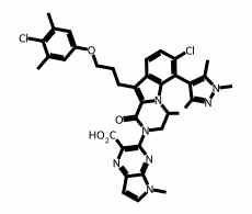 Cc1cc(OCCCc2c3n(c4c(-c5c(C)nn(C)c5C)c(Cl)ccc24)C(C)CN(c2nc4c(ccn4C)nc2C(=O)O)C3=O)cc(C)c1Cl